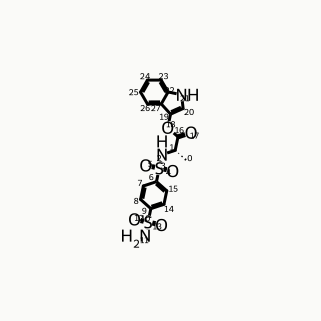 C[C@H](NS(=O)(=O)c1ccc(S(N)(=O)=O)cc1)C(=O)Oc1c[nH]c2ccccc12